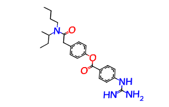 CCCCN(C(=O)Cc1ccc(OC(=O)c2ccc(NC(=N)N)cc2)cc1)C(C)CC